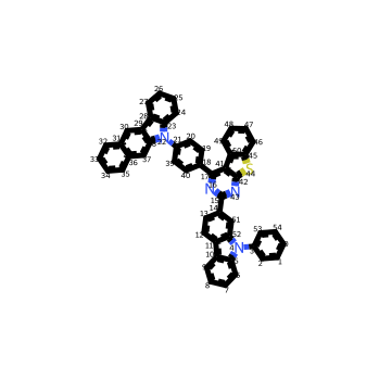 c1ccc(-n2c3ccccc3c3ccc(-c4nc(-c5ccc(-n6c7ccccc7c7cc8ccccc8cc76)cc5)c5c(n4)sc4ccccc45)cc32)cc1